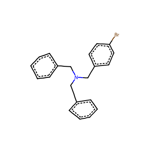 Brc1ccc(CN(Cc2ccccc2)Cc2ccccc2)cc1